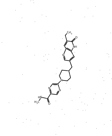 CCc1cc2ncc(CC3CCN(c4cnc(C(=O)NC)cn4)CC3)cc2[nH]c1=O